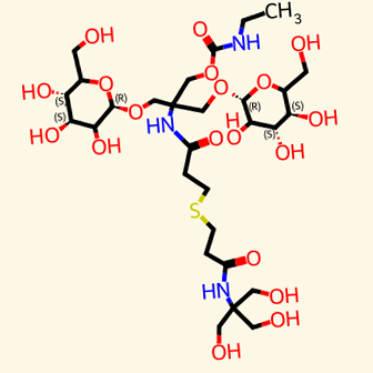 CCNC(=O)OCC(CO[C@@H]1OC(CO)[C@@H](O)[C@H](O)C1O)(CO[C@@H]1OC(CO)[C@@H](O)[C@H](O)C1O)NC(=O)CCSCCC(=O)NC(CO)(CO)CO